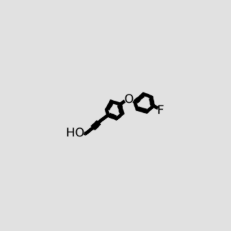 OCC#Cc1ccc(Oc2ccc(F)cc2)cc1